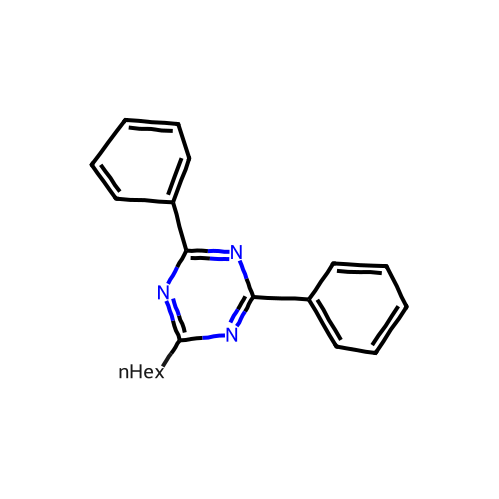 [CH2]CCCCCc1nc(-c2ccccc2)nc(-c2ccccc2)n1